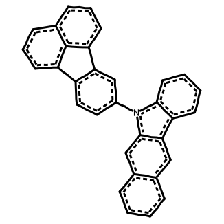 c1ccc2cc3c(cc2c1)c1ccccc1n3-c1ccc2c(c1)-c1cccc3cccc-2c13